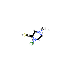 CN1CCN(Cl)C(=C=S)C1